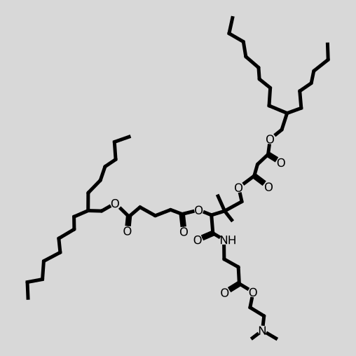 CCCCCCCCC(CCCCCC)COC(=O)CCCC(=O)OC(C(=O)NCCC(=O)OCCN(C)C)C(C)(C)COC(=O)CC(=O)OCC(CCCCCC)CCCCCCCC